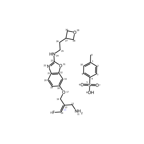 Cc1ccc(S(=O)(=O)O)cc1.NC/C(=C/F)COc1ccc2nc(NCCC3COC3)oc2c1